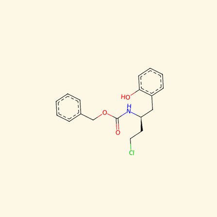 O=C(N[C@H](CCCl)Cc1ccccc1O)OCc1ccccc1